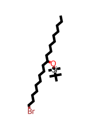 CCCCCCCCCC(CCCCCCCCCBr)O[Si](C)(C)C(C)(C)C